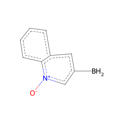 Bc1cc2ccccc2[n+]([O-])c1